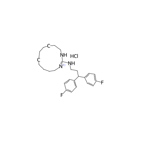 Cl.Fc1ccc(C(CCN/C2=N/CCCCCCCCCCN2)c2ccc(F)cc2)cc1